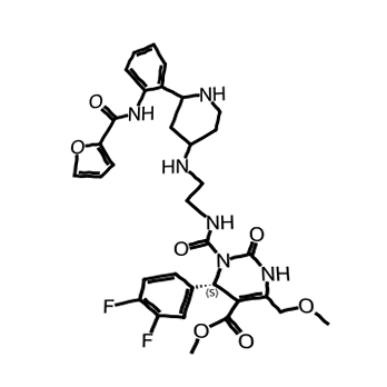 COCC1=C(C(=O)OC)[C@H](c2ccc(F)c(F)c2)N(C(=O)NCCNC2CCNC(c3ccccc3NC(=O)c3ccco3)C2)C(=O)N1